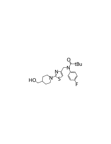 CC(C)(C)C(=O)N(Cc1csc(N2CCC(CO)CC2)n1)c1ccc(F)cc1